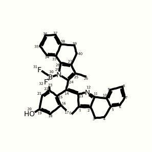 CC1=C2CCc3ccccc3C2=N/C1=C(/c1c(C)cc(O)cc1C)c1c(C)c2c(n1B(F)F)-c1ccccc1CC2